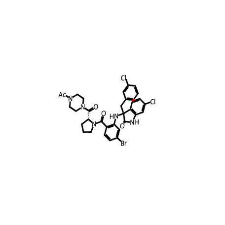 CC(=O)N1CCN(C(=O)[C@H]2CCCN2C(=O)c2ccc(Br)cc2NC2(Cc3cccc(Cl)c3)C(=O)Nc3cc(Cl)ccc32)CC1